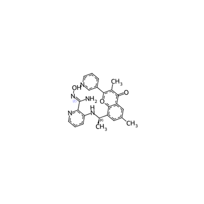 Cc1cc([C@@H](C)Nc2cccnc2/C(N)=N/O)c2oc(-c3cccnc3)c(C)c(=O)c2c1